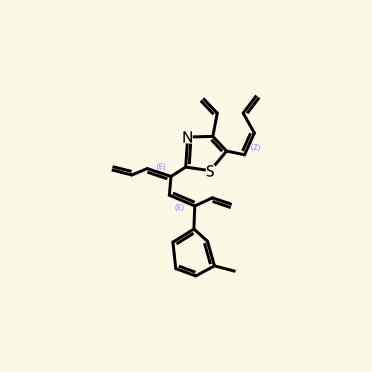 C=C/C=C\c1sc(C(/C=C(\C=C)c2cccc(C)c2)=C/C=C)nc1C=C